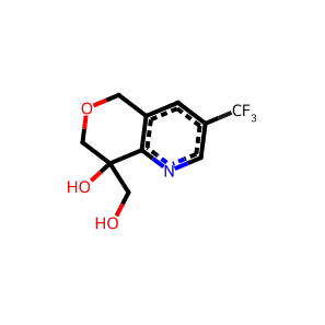 OCC1(O)COCc2cc(C(F)(F)F)cnc21